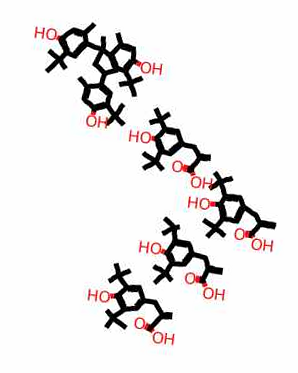 C=C(Cc1cc(C(C)(C)C)c(O)c(C(C)(C)C)c1)C(=O)O.C=C(Cc1cc(C(C)(C)C)c(O)c(C(C)(C)C)c1)C(=O)O.C=C(Cc1cc(C(C)(C)C)c(O)c(C(C)(C)C)c1)C(=O)O.C=C(Cc1cc(C(C)(C)C)c(O)c(C(C)(C)C)c1)C(=O)O.Cc1cc(O)c(C(C)(C)C)cc1C(C)CC(C)(c1cc(C(C)(C)C)c(O)cc1C)c1cc(C(C)(C)C)c(O)cc1C